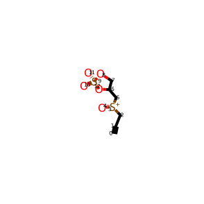 C#CC[S+]([O-])CC1COS(=O)(=O)O1